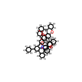 c1ccc(-c2cc(-c3ccccc3-c3cc4c5c(c3)Oc3ccccc3B5c3ccccc3O4)c3c(c2)c2cc(-c4ccccc4)cc(-c4ccccc4-c4cc5c6c(c4)Oc4ccccc4B6c4ccccc4O5)c2n3-c2ccccc2)cc1